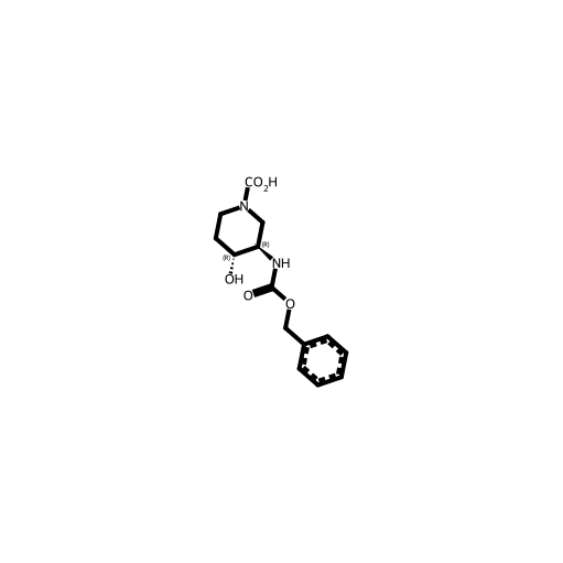 O=C(N[C@@H]1CN(C(=O)O)CC[C@H]1O)OCc1ccccc1